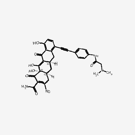 CN(C)CC(=O)Nc1ccc(C#Cc2ccc(O)c3c2C[C@H]2C[C@H]4CC(N=O)=C(C(N)=O)C(=O)[C@@]4(O)C(O)=C2C3=O)cc1